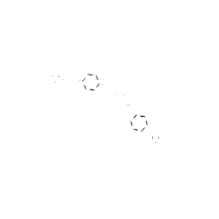 COc1ccc(OCOCOc2ccc(OC)cc2)cc1